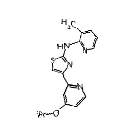 Cc1cccnc1Nc1nc(-c2cc(OC(C)C)ccn2)cs1